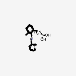 Cc1cccc(C)c1/N=N/c1ccccc1.NP(O)O